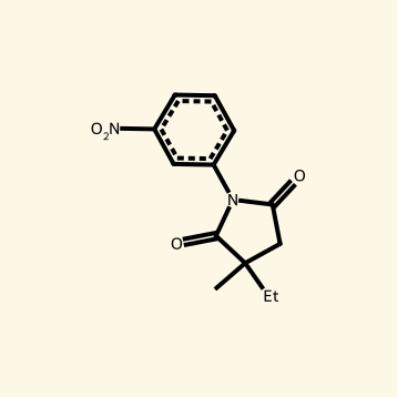 CCC1(C)CC(=O)N(c2cccc([N+](=O)[O-])c2)C1=O